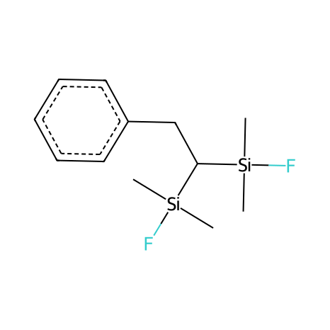 C[Si](C)(F)C(Cc1ccccc1)[Si](C)(C)F